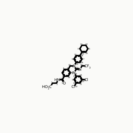 O=C(O)CCNC(=O)c1ccc(CN(/C(=N\CC(F)(F)F)Nc2cc(Cl)cc(Cl)c2)c2ccc(C3=CCCCC3)cc2)cc1